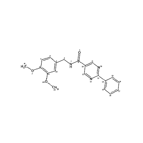 COc1ccc(CNC(=O)c2cnc(-c3ccccc3)nc2)cc1OC